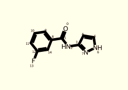 O=C(Nc1cc[nH]n1)c1cccc(F)c1